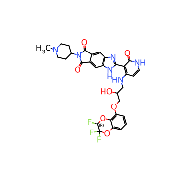 CN1CCC(N2C(=O)c3cc4nc(-c5c(NCC(O)COc6cccc7c6O[C@H](F)C(F)(F)O7)cc[nH]c5=O)[nH]c4cc3C2=O)CC1